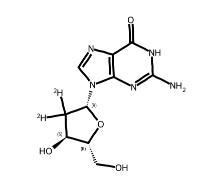 [2H]C1([2H])[C@H](O)[C@@H](CO)O[C@H]1n1cnc2c(=O)[nH]c(N)nc21